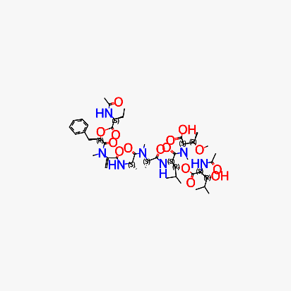 C=C(C(=O)N[C@@H](C)C(=O)N(C)[C@@H](C)C(=O)N[C@H](C(=O)N(C)[C@H](C(=O)O)[C@@H](C)OC)[C@H](OC(=O)[C@@H](NC(C)=O)[C@H](O)C(C)C)C(C)C)N(C)C(=O)[C@@H](Cc1ccccc1)OC(=O)[C@H](CC)NC(C)=O